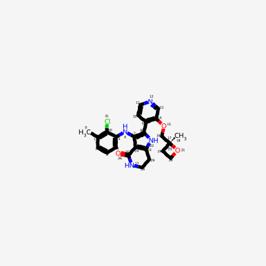 Cc1cccc(Nc2c(-c3ccncc3OC[C@]3(C)CCO3)[nH]c3c2C(=O)NCC3)c1Cl